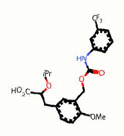 COc1ccc(CC(OC(C)C)C(=O)O)cc1COC(=O)Nc1cccc(C(F)(F)F)c1